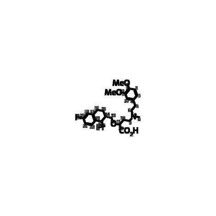 COc1ccc(CCN(C)CCC(OC[C@@H]2CCc3cc(F)ccc3[C@@H]2C(C)C)C(=O)O)cc1OC